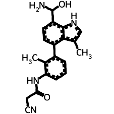 Cc1c(NC(=O)CC#N)cccc1-c1ccc(C(N)O)c2[nH]cc(C)c12